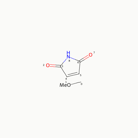 COC.O=C1C=CC(=O)N1